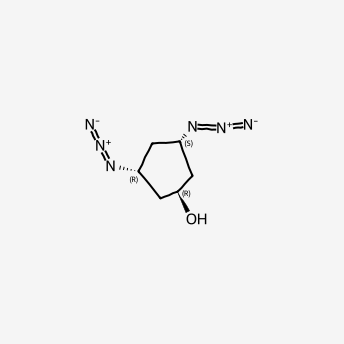 [N-]=[N+]=N[C@@H]1C[C@@H](O)C[C@H](N=[N+]=[N-])C1